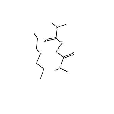 CCCSCCC.CN(C)C(=S)SSC(=S)N(C)C